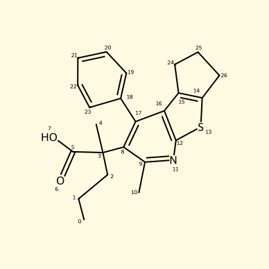 CCCC(C)(C(=O)O)c1c(C)nc2sc3c(c2c1-c1ccccc1)CCC3